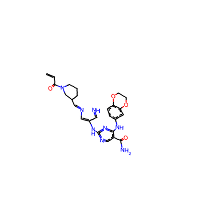 C=CC(=O)N1CCCC(/C=N/C=C(\C=N)Nc2ncc(C(N)=O)c(Nc3ccc4c(c3)OCCO4)n2)C1